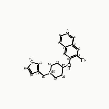 Fc1cc2cnccc2cc1OC1CCN(Cc2ccsc2)CC1